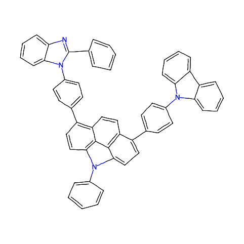 c1ccc(-c2nc3ccccc3n2-c2ccc(-c3ccc4c5c3ccc3c(-c6ccc(-n7c8ccccc8c8ccccc87)cc6)ccc(c35)n4-c3ccccc3)cc2)cc1